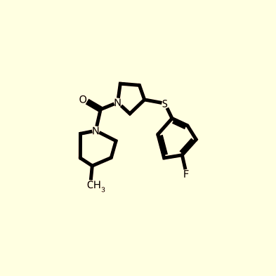 CC1CCN(C(=O)N2CCC(Sc3ccc(F)cc3)C2)CC1